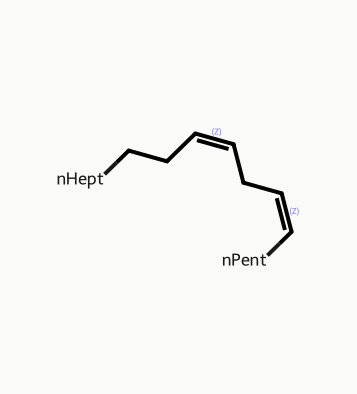 [CH]CCCCCCCC/C=C\C/C=C\CCCCC